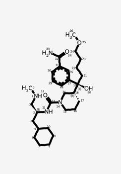 CNC[C@H](CC1CCCCC1)NC(=O)N1CCC[C@@H]([C@@](O)(CCCCOC)c2cccc(C(N)=O)c2)C1